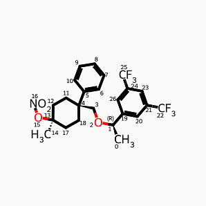 C[C@@H](OC[C@]1(c2ccccc2)CC[C@](C)(O[N+](=O)[O-])CC1)c1cc(C(F)(F)F)cc(C(F)(F)F)c1